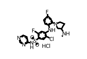 CNC1CCN(c2cc(F)ccc2Nc2cc(F)c(S(=O)(=O)Nc3ccncn3)cc2Cl)C1.Cl